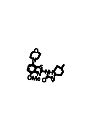 COc1ccc(N2CCOCC2)c2sc(NC(=O)N(C)C3CCC(C)CC3)nc12